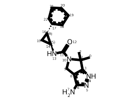 CC1(C)c2[nH]nc(N)c2CN1C(=O)N[C@H]1C[C@@H]1c1ccccc1